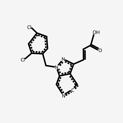 O=C(O)/C=C/c1nn(Cc2ccc(Cl)cc2Cl)c2cnccc12